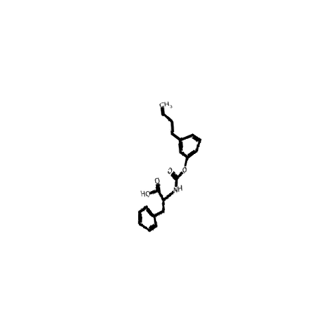 CCCCc1cccc(OC(=O)NC(Cc2ccccc2)C(=O)O)c1